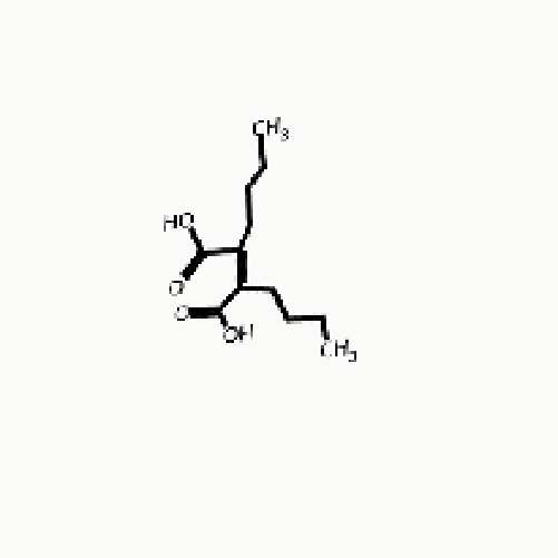 CCCC/C(C(=O)O)=C(\CCCC)C(=O)O